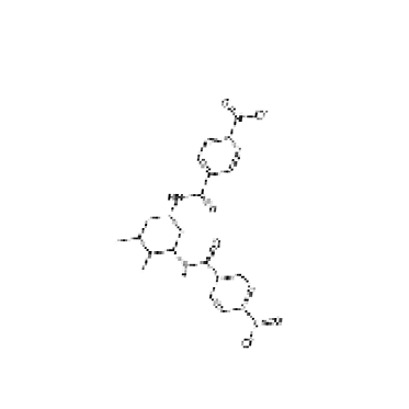 CC1CC(NC(=O)c2ccc([N+](=O)[O-])cc2)CC(NC(=O)c2ccc([N+](=O)[O-])cc2)C1C